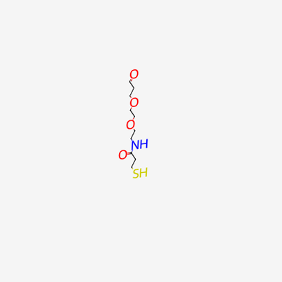 O=CCCOCCOCCNC(=O)CCS